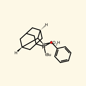 CC(C)(C)N(C(=O)O)C12CC3C[C@@H](C1)C(NCc1ccccc1)[C@@H](C3)C2